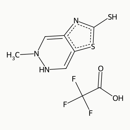 CN1C=c2nc(S)sc2=CN1.O=C(O)C(F)(F)F